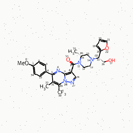 COc1ccc(-c2nc3c(C(=O)N4CCN([C@@H](CO)c5ccco5)C[C@H]4C)cnn3c(C(F)(F)F)c2C)cc1